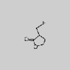 O=C1OCCC1CF